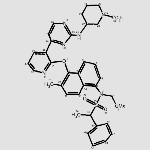 COCN(c1cccc2c(Oc3ncccc3-c3ccnc(NC4CCCN(C(=O)O)C4)n3)c(C)ccc12)S(=O)(=O)C(C)c1ccccc1